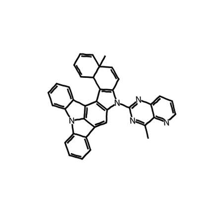 Cc1nc(-n2c3c(c4c5c6ccccc6n6c7ccccc7c(cc42)c56)C2C=CC=CC2(C)C=C3)nc2cccnc12